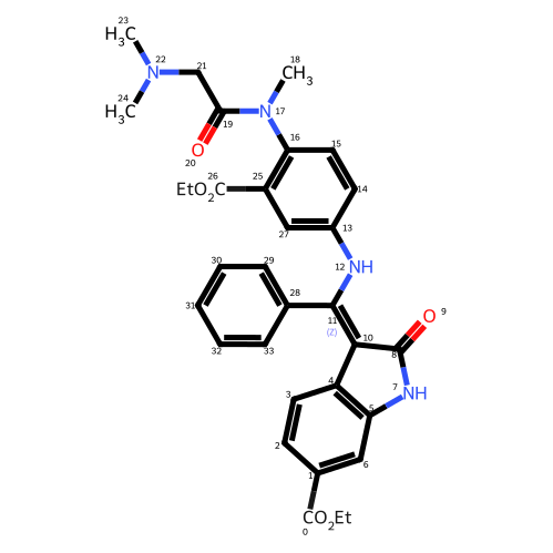 CCOC(=O)c1ccc2c(c1)NC(=O)/C2=C(\Nc1ccc(N(C)C(=O)CN(C)C)c(C(=O)OCC)c1)c1ccccc1